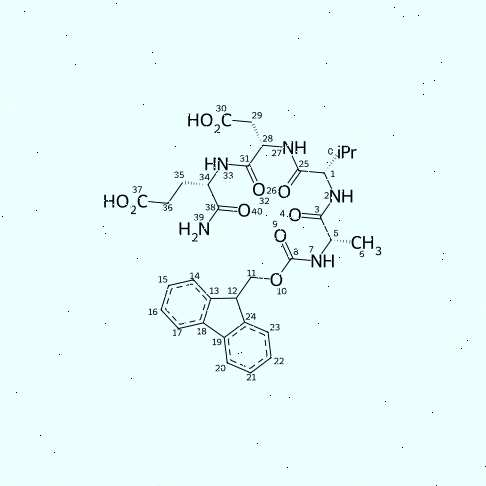 CC(C)[C@H](NC(=O)[C@H](C)NC(=O)OCC1c2ccccc2-c2ccccc21)C(=O)N[C@@H](CC(=O)O)C(=O)N[C@@H](CCC(=O)O)C(N)=O